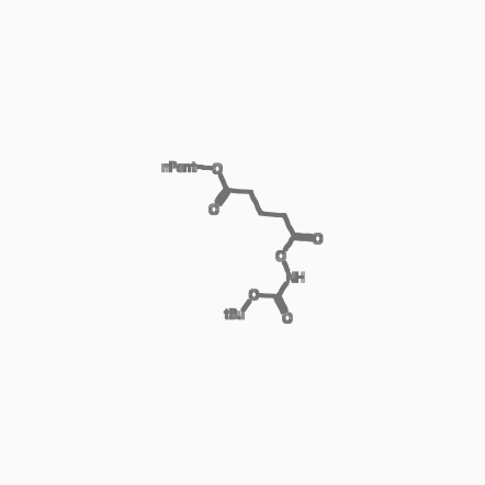 CCCCCOC(=O)CCCC(=O)ONC(=O)OC(C)(C)C